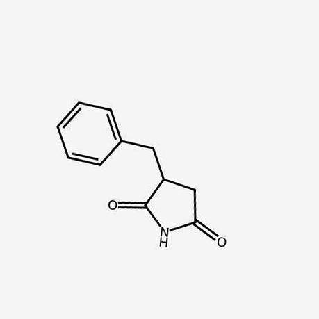 O=C1CC(Cc2ccccc2)C(=O)N1